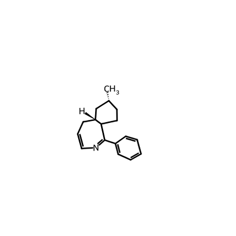 C[C@@H]1CCC2C(c3ccccc3)=NC=CC[C@@H]2C1